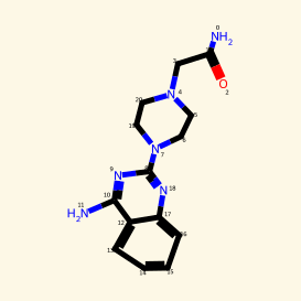 NC(=O)CN1CCN(c2nc(N)c3ccccc3n2)CC1